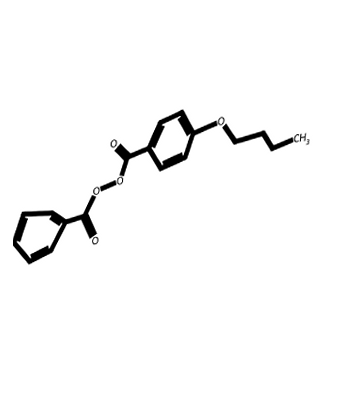 CCCCOc1ccc(C(=O)OOC(=O)c2ccccc2)cc1